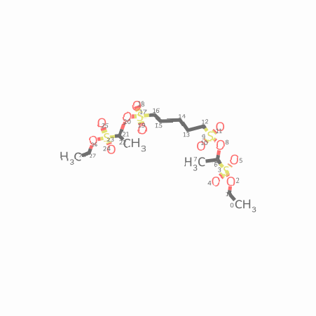 CCOS(=O)(=O)C(C)OS(=O)(=O)CCCCCS(=O)(=O)OC(C)S(=O)(=O)OCC